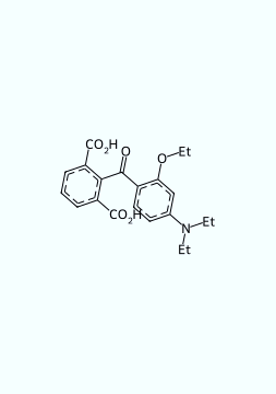 CCOc1cc(N(CC)CC)ccc1C(=O)c1c(C(=O)O)cccc1C(=O)O